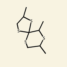 CC1CSC2(SCC(C)S2)C(C)S1